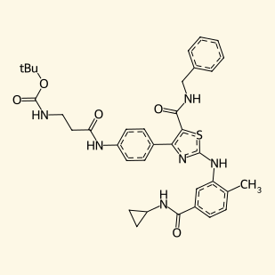 Cc1ccc(C(=O)NC2CC2)cc1Nc1nc(-c2ccc(NC(=O)CCNC(=O)OC(C)(C)C)cc2)c(C(=O)NCc2ccccc2)s1